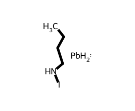 CCCCNI.[PbH2]